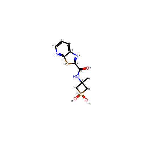 CC1(NC(=O)c2nc3cccnc3s2)CS(=O)(=O)C1